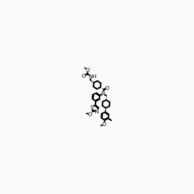 COC(=O)NC[C@H]1CC[C@H](C(=O)N(C[C@H]2CC[C@H](c3ccc(OC)c(C)c3)CC2)c2cccc(-c3cnc(OC)s3)c2)CC1